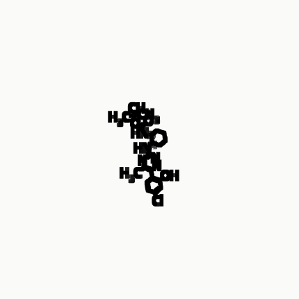 Cc1nc(N[C@@H]2CCCC[C@H]2NC(=O)OC(C)(C)C)nnc1-c1ccc(Cl)cc1O